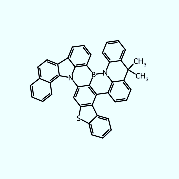 CC1(C)c2ccccc2N2B3c4c(cc5sc6ccccc6c5c4-c4cccc1c42)-n1c2c3cccc2c2ccc3ccccc3c21